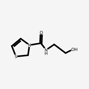 O=C(NCCO)N1C=CSC1